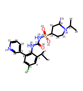 CC(C)c1cc(F)cc(-c2cccnc2)c1NC(=O)NS(=O)(=O)C1CCN(C(C)C)C(I)C1